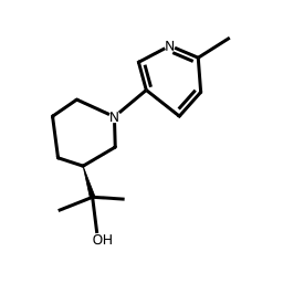 Cc1ccc(N2CCC[C@H](C(C)(C)O)C2)cn1